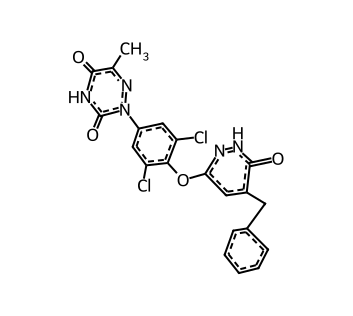 Cc1nn(-c2cc(Cl)c(Oc3cc(Cc4ccccc4)c(=O)[nH]n3)c(Cl)c2)c(=O)[nH]c1=O